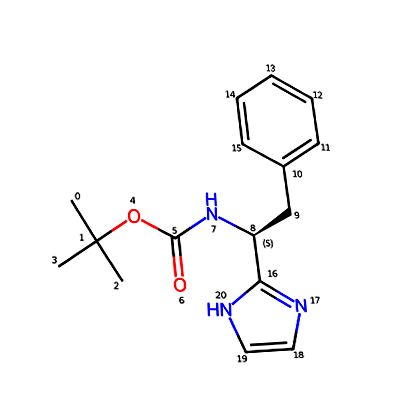 CC(C)(C)OC(=O)N[C@@H](Cc1ccccc1)c1ncc[nH]1